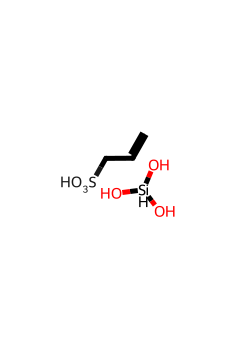 C=CCS(=O)(=O)O.O[SiH](O)O